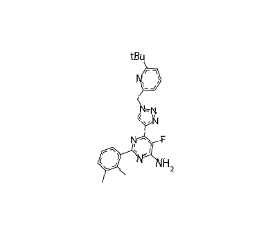 Cc1cccc(-c2nc(N)c(F)c(-c3cn(Cc4cccc(C(C)(C)C)n4)nn3)n2)c1C